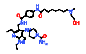 CCc1nc2c(cnn2CC)c(NC2CCN(C(N)=O)CC2)c1CNC(=O)c1ccc(NC(=O)CCCCCCCN(C)CCO)cc1